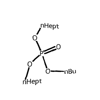 CCCCCCCOP(=O)(OCCCC)OCCCCCCC